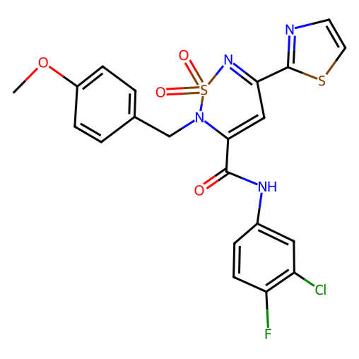 COc1ccc(CN2C(C(=O)Nc3ccc(F)c(Cl)c3)=CC(c3nccs3)=NS2(=O)=O)cc1